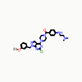 CCOc1cccc(Cn2ncc3c(N4CCN(C(=O)c5ccc(NCCN(C)C)cc5)CC4)nc(Cl)nc32)c1